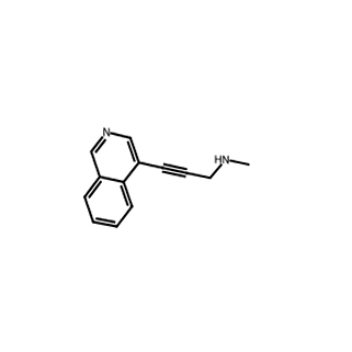 CNCC#Cc1cncc2ccccc12